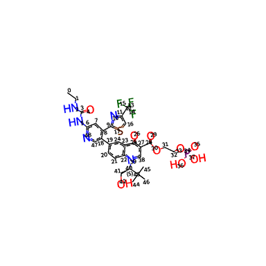 CCNC(=O)Nc1cc(-c2nc(C(F)(F)F)cs2)c(-c2ccc3c(c2)c(=O)c(C(=O)OCCOP(=O)(O)O)cn3[C@H](CO)C(C)(C)C)cn1